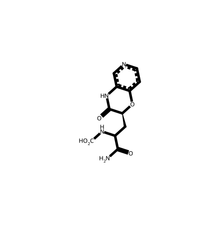 NC(=O)C(C[C@@H]1Oc2ccncc2NC1=O)NC(=O)O